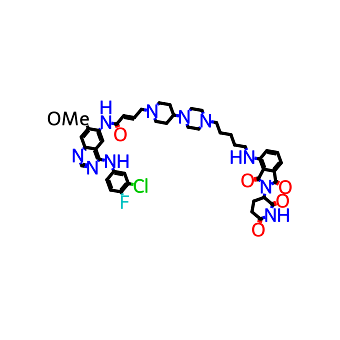 COc1cc2ncnc(Nc3ccc(F)c(Cl)c3)c2cc1NC(=O)/C=C/CN1CCC(N2CCN(CCCCCNc3cccc4c3C(=O)N(C3CCC(=O)NC3=O)C4=O)CC2)CC1